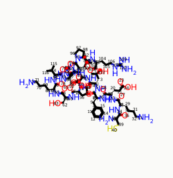 CC(C)C[C@H](NC(=O)[C@H](Cc1ccccc1)NC(=O)[C@H](CCC(=O)O)NC(=O)[C@H](CCCCN)NC(=O)[C@@H](N)CS)C(=O)N[C@@H](Cc1c[nH]cn1)C(=O)N1CCC[C@H]1C(=O)N[C@@H](CO)C(=O)N[C@@H](CCCCN)C(=O)N[C@H](C(=O)N[C@@H](CC(=O)O)C(=O)N[C@@H](CC(C)C)C(=O)N1CCC[C@H]1C(=O)N[C@@H](CCCNC(=N)N)C(=O)O)C(C)C